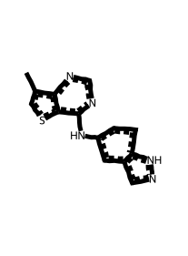 Cc1csc2c(Nc3ccc4[nH]ncc4c3)ncnc12